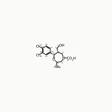 CC(C)(C)C1CN(C(=O)O)C[C@H](CO)[C@H](c2ccc(Cl)c(Cl)c2)O1